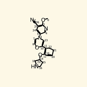 COc1ncc(N2C=COC(C3=C(O[C@H]4CCNC4)C=CCC3)=C2)cc1C#N